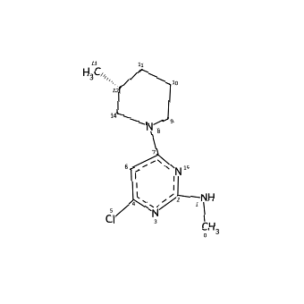 CNc1nc(Cl)cc(N2CCC[C@@H](C)C2)n1